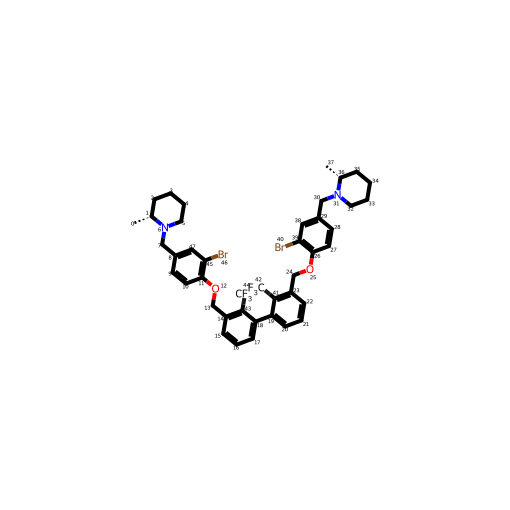 C[C@@H]1CCCCN1Cc1ccc(OCc2cccc(-c3cccc(COc4ccc(CN5CCCC[C@H]5C)cc4Br)c3C(F)(F)F)c2C(F)(F)F)c(Br)c1